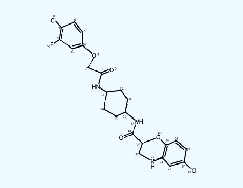 O=C(COc1ccc(Cl)c(F)c1)NC1CCC(NC(=O)C2CNc3cc(Cl)ccc3O2)CC1